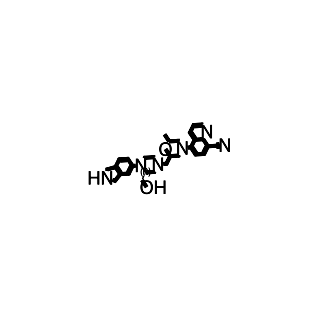 CC1CN(c2ccc(C#N)c3ncccc23)CC(CN2CCN(c3ccc4c(c3)CNC4)[C@@H](CO)C2)O1